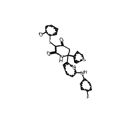 O=C1CC(c2ccsc2)(c2cccc(Nc3ccc(F)cc3)n2)NC(=O)C1Sc1ccccc1Cl